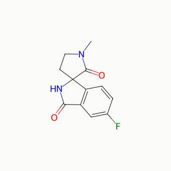 CN1CCC2(NC(=O)c3cc(F)ccc32)C1=O